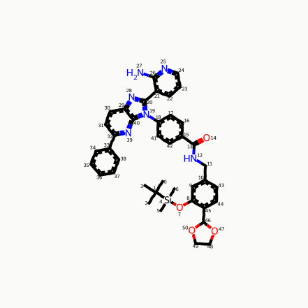 CC(C)(C)[Si](C)(C)Oc1cc(CNC(=O)c2ccc(-n3c(-c4cccnc4N)nc4ccc(-c5ccccc5)nc43)cc2)ccc1C1OCCO1